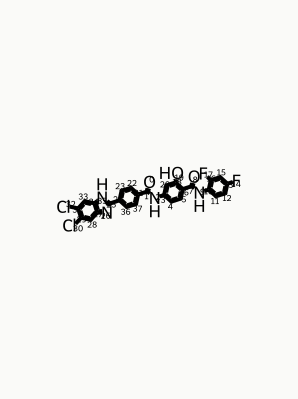 O=C(Nc1ccc(C(=O)Nc2ccc(F)cc2F)c(O)c1)c1ccc(-c2nc3cc(Cl)c(Cl)cc3[nH]2)cc1